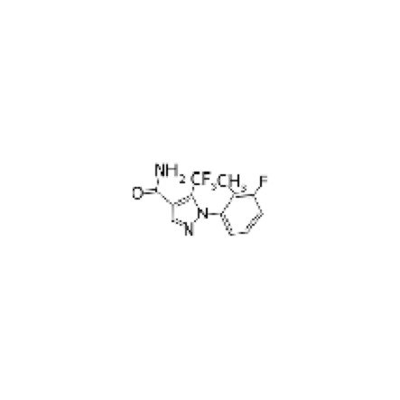 Cc1c(F)cccc1-n1ncc(C(N)=O)c1C(F)(F)F